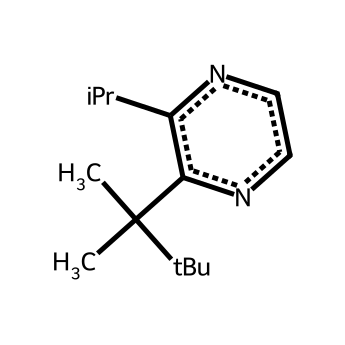 CC(C)c1nccnc1C(C)(C)C(C)(C)C